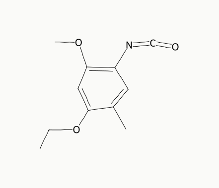 CCOc1cc(OC)c(N=C=O)cc1C